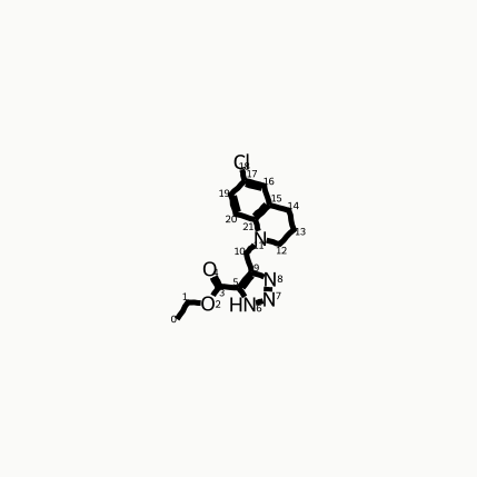 CCOC(=O)c1[nH]nnc1CN1CCCc2cc(Cl)ccc21